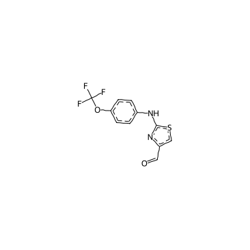 O=Cc1csc(Nc2ccc(OC(F)(F)F)cc2)n1